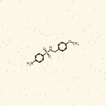 COc1ccc(CNS(=O)(=O)c2ccc(N)cc2)cc1